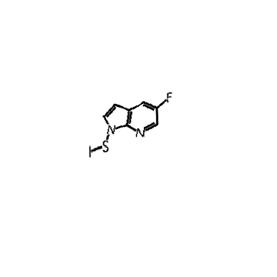 Fc1cnc2c(ccn2SI)c1